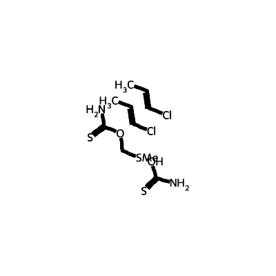 CC=CCl.CC=CCl.CSCOC(N)=S.NC(O)=S